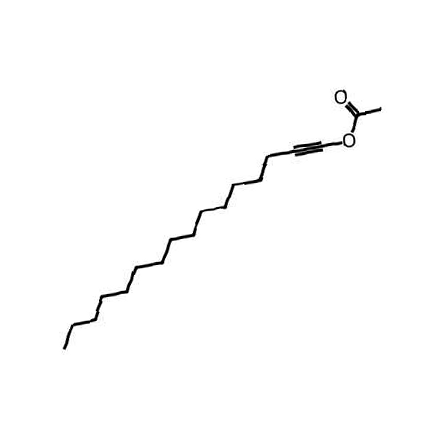 CCCCCCCCCCCCCCC#COC(C)=O